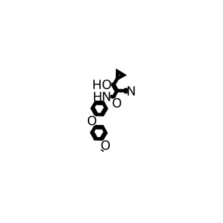 COc1ccc(Oc2ccc(NC(=O)C(C#N)=C(O)C3CC3)cc2)cc1